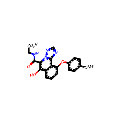 COc1ccc(Oc2cccc3c(O)c(C(=O)NCC(=O)O)n4ncnc4c23)cc1